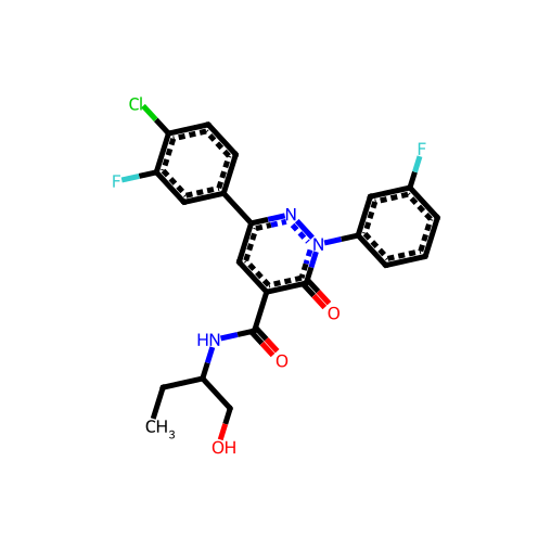 CCC(CO)NC(=O)c1cc(-c2ccc(Cl)c(F)c2)nn(-c2cccc(F)c2)c1=O